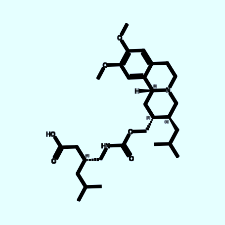 COc1cc2c(cc1OC)[C@H]1C[C@@H](COC(=O)NC[C@@H](CC(=O)O)CC(C)C)[C@H](CC(C)C)CN1CC2